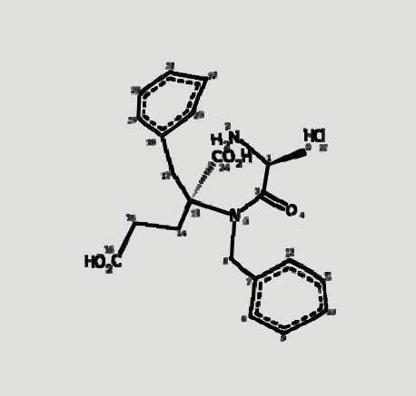 C[C@H](N)C(=O)N(Cc1ccccc1)[C@@](CCC(=O)O)(Cc1ccccc1)C(=O)O.Cl